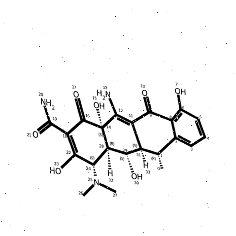 C[C@H]1c2cccc(O)c2C(=O)C2=C(N)[C@]3(O)C(=O)C(C(N)=O)=C(O)[C@@H](N(C)C)[C@@H]3[C@@H](O)[C@@H]21